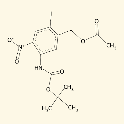 CC(=O)OCc1cc(NC(=O)OC(C)(C)C)c([N+](=O)[O-])cc1I